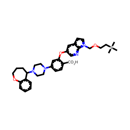 C[Si](C)(C)CCOCn1ccc2cc(Oc3cc(N4CCN(C5CCCOc6ccccc65)CC4)ccc3C(=O)O)cnc21